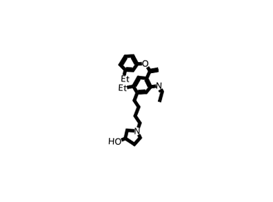 C=C(Oc1cccc(CC)c1)c1cc(CC)c(CCCCN2CCC(O)C2)cc1/N=C\C